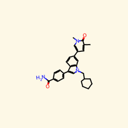 Cc1cc(-c2ccc3c(-c4ccc(C(N)=O)cc4)cn(CC4CCCCC4)c3c2)cn(C)c1=O